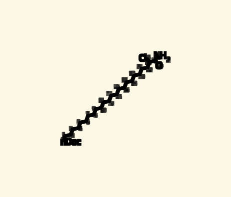 CCCCCCCCCCCCCCCCCCCCCCCCCCCCCCCCC(Cl)C(N)=O